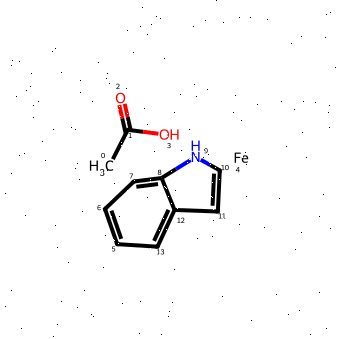 CC(=O)O.[Fe].c1ccc2[nH]ccc2c1